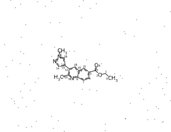 CCOC(=O)c1ccc2nc(C)c(-c3cnn(C)c3)cc2c1